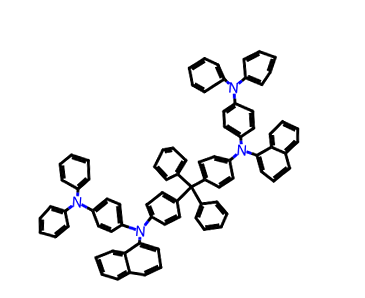 c1ccc(N(c2ccccc2)c2ccc(N(c3ccc(C(c4ccccc4)(c4ccccc4)c4ccc(N(c5ccc(N(c6ccccc6)c6ccccc6)cc5)c5cccc6ccccc56)cc4)cc3)c3cccc4ccccc34)cc2)cc1